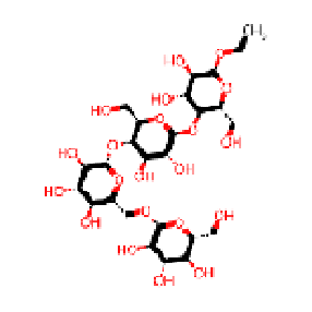 CCO[C@H]1O[C@H](CO)[C@@H](O[C@@H]2O[C@H](CO)[C@@H](O[C@@H]3O[C@H](CO[C@@H]4O[C@H](CO)[C@@H](O)[C@H](O)[C@H]4O)[C@@H](O)[C@H](O)[C@H]3O)[C@H](O)[C@H]2O)[C@H](O)[C@H]1O